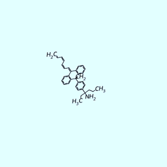 C=C\C=C/C=C\C=C(\c1ccccc1)c1ccccc1C(=C)c1ccc(C(N)(CC)CCC)cc1